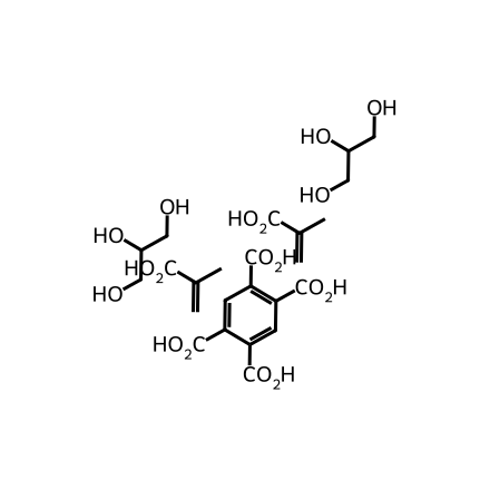 C=C(C)C(=O)O.C=C(C)C(=O)O.O=C(O)c1cc(C(=O)O)c(C(=O)O)cc1C(=O)O.OCC(O)CO.OCC(O)CO